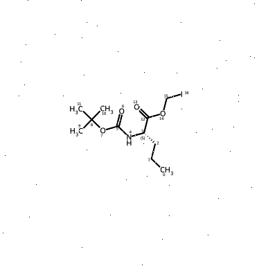 CCC[C@H](NC(=O)OC(C)(C)C)C(=O)OCI